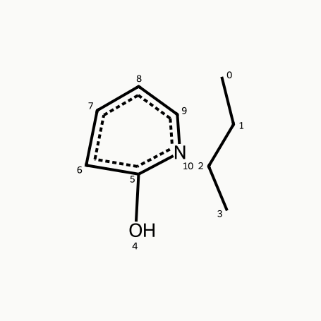 CCCC.Oc1ccccn1